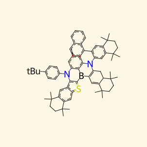 Cc1cc2c3c(c1)N(c1ccc(C(C)(C)C)cc1)c1c(sc4cc5c(cc14)C(C)(C)CCC5(C)C)B3C1=C(CC3C(=C1)C(C)(C)CCC3(C)C)N2c1cc2c(cc1-c1cccc3ccccc13)C(C)(C)CCC2(C)C